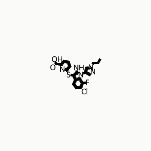 CCCn1cc(-n2c(N)c(Sc3cccc(C(=O)O)n3)c3ccc(Cl)c(F)c32)cn1